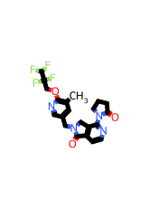 Cc1cc(CN2Cc3c(ccnc3N3CCCC3=O)C2=O)cnc1OCC(F)(F)C(F)F